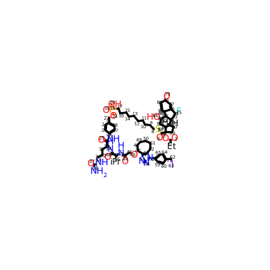 CCC(=O)O[C@]1(C(=O)SCCCCCCCCCCP(=O)(O)OCc2ccc(NC(=O)C(CCCNC(N)=O)NC(=O)C(NC(=O)COC3CCCCCc4c3nnn4-c3ccc(CI)cc3)C(C)C)cc2)CC[C@H]2[C@@H]3C[C@H](F)C4=CC(=O)C=C[C@]4(C)C3[C@@H](O)C[C@@]21C